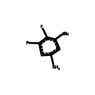 CC(C)(C)c1cc(N)cc(F)c1F